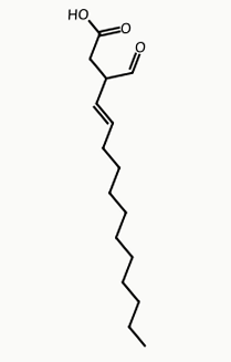 CCCCCCCCCCC=CC(C=O)CC(=O)O